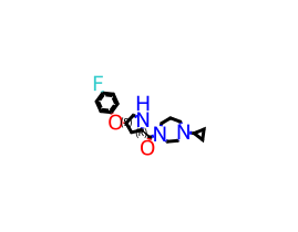 O=C([C@H]1C[C@H](Oc2ccc(F)cc2)CN1)N1CCCN(C2CC2)CC1